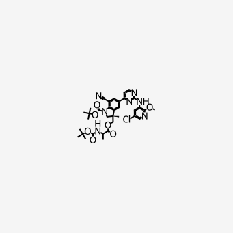 COc1ncc(Cl)cc1Nc1nccc(-c2cc(C#N)c3c(c2)[C@](C)(COC(=O)C(C)NC(=O)OC(C)(C)C)CN3C(=O)OC(C)(C)C)n1